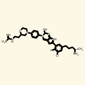 C[C@H](N)CCCc1cc(Cl)c(F)c(-c2cc3c([nH]2)=NC(O)N(c2ccc(N4CCOC(CCNC(=N)N)C4)cc2)C=3)c1